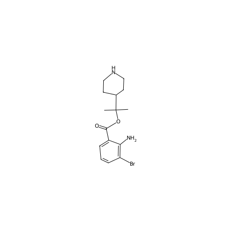 CC(C)(OC(=O)c1cccc(Br)c1N)C1CCNCC1